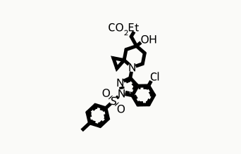 CCOC(=O)CC1(O)CCN(c2nn(S(=O)(=O)c3ccc(C)cc3)c3cccc(Cl)c23)C2(CC2)C1